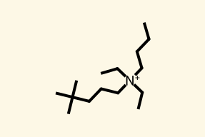 CCCC[N+](CC)(CC)CCCC(C)(C)C